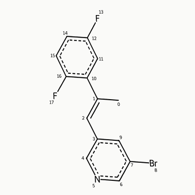 C/C(=C\c1cncc(Br)c1)c1cc(F)ccc1F